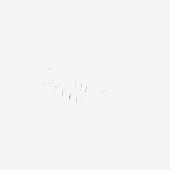 CC(=CCCC(F)(F)C(F)(F)C(F)(F)C(F)(F)C(F)(F)C(F)(F)C(F)(F)C(F)F)C(=O)O